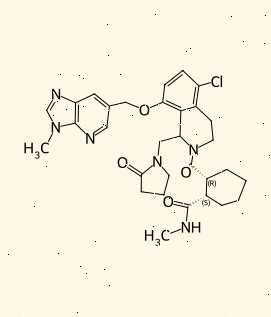 CNC(=O)[C@H]1CCCC[C@H]1C(=O)N1CCc2c(Cl)ccc(OCc3cnc4c(c3)ncn4C)c2C1CN1CCCC1=O